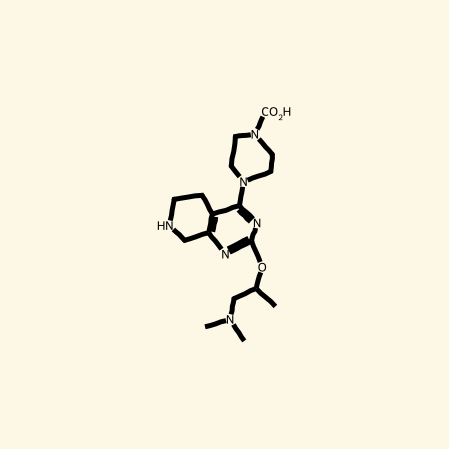 CC(CN(C)C)Oc1nc2c(c(N3CCN(C(=O)O)CC3)n1)CCNC2